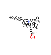 [C-]#[N+]/C(=C\c1ccc(/C(=C/c2ccc(N(c3ccc(/C=C(/c4ccc(/C=C(\[N+]#[C-])OCO)cc4)c4ccc(C)c(C)c4)cc3)c3ccc(/C=C(\C)c4ccccc4)cc3)cc2)c2ccc(C)c(C)c2)cc1)C(=O)O